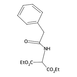 CCOC(=O)C(NC(=O)Cc1ccccc1)C(=O)OCC